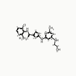 C=C(Nc1c(Cl)ccnc1C)c1cnc(Nc2cc(NCCO)nc(C)n2)s1